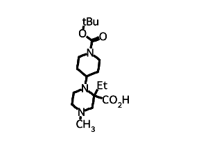 CCC1(C(=O)O)CN(C)CCN1C1CCN(C(=O)OC(C)(C)C)CC1